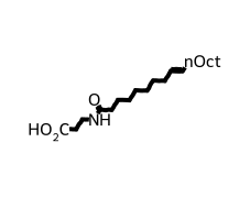 CCCCCCCCC=CCCCCCCCC(=O)NCCC(=O)O